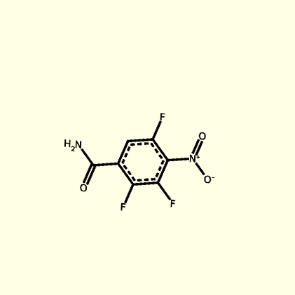 NC(=O)c1cc(F)c([N+](=O)[O-])c(F)c1F